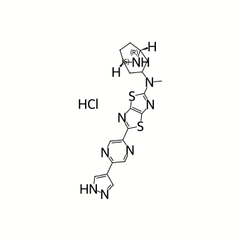 CN(c1nc2sc(-c3cnc(-c4cn[nH]c4)cn3)nc2s1)C1C[C@H]2CC[C@@H](C1)N2.Cl